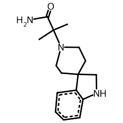 CC(C)(C(N)=O)N1CCC2(CC1)CNc1ccccc12